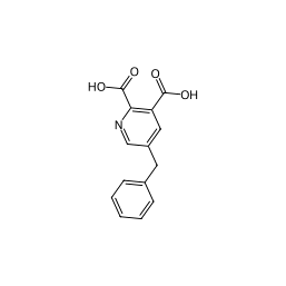 O=C(O)c1cc(Cc2ccccc2)cnc1C(=O)O